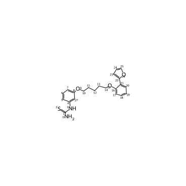 NC(=S)Nc1cccc(OCCCCCOc2ccccc2-c2ccco2)c1